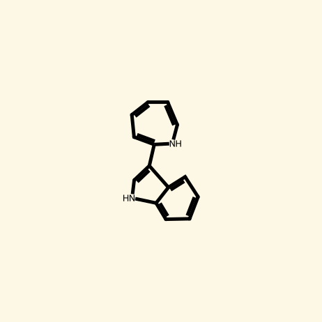 C1=CC=C(c2c[nH]c3ccccc23)NC=C1